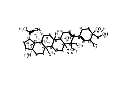 C=C(C)[C@@H]1CC[C@]2(N)CC[C@]3(C)[C@H](CC[C@@H]4[C@@]5(C)CC=C(C6=CC(CC)[C@](CO)(C(=O)O)CC6)C(C)(C)[C@@H]5CC[C@]43C)[C@@H]12